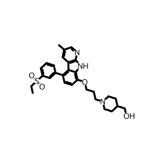 CCS(=O)(=O)c1cccc(-c2ccc(OCCCN3CCC(CO)CC3)c3[nH]c4ncc(C)cc4c23)c1